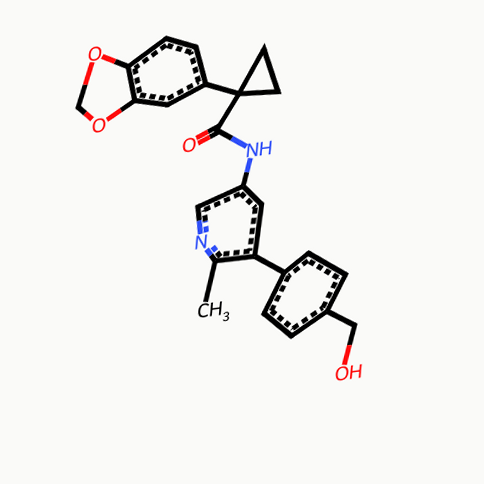 Cc1ncc(NC(=O)C2(c3ccc4c(c3)OCO4)CC2)cc1-c1ccc(CO)cc1